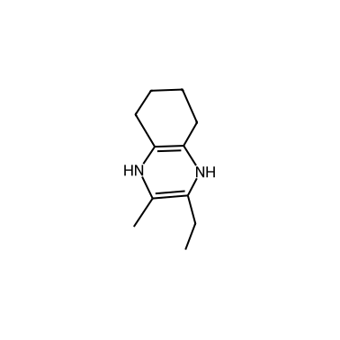 CCC1=C(C)NC2=C(CCCC2)N1